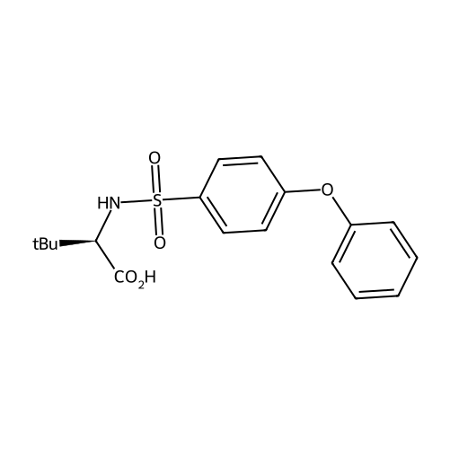 CC(C)(C)[C@@H](NS(=O)(=O)c1ccc(Oc2ccccc2)cc1)C(=O)O